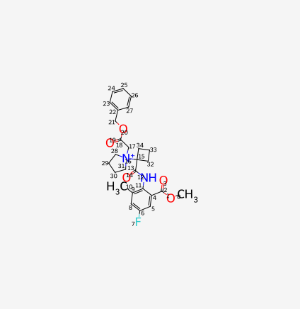 COC(=O)c1cc(F)cc(C)c1NC(=O)C1([N+]2(CC(=O)OCc3ccccc3)CCCC2)CCC1